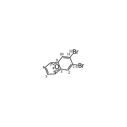 Brc1cc2c3ccc(o3)c2cc1Br